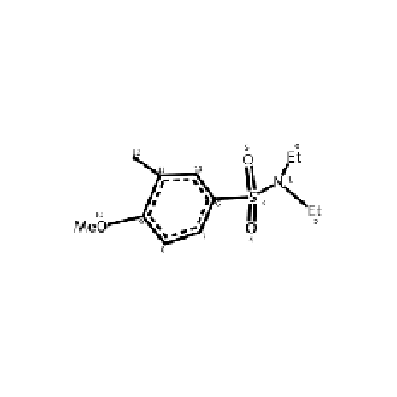 CCN(CC)S(=O)(=O)c1ccc(OC)c(C)c1